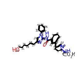 O=C(O)Nc1ccc(-c2cccc(C(=O)Nc3nc(CCCCCCO)cn3-c3ccccc3)c2)cn1